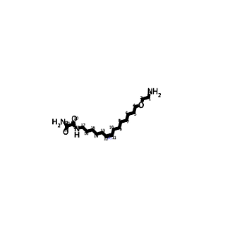 NCCOCCCCCCC/C=C\CCCCCNC(=O)C(N)=O